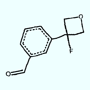 O=Cc1cccc(C2(F)COC2)c1